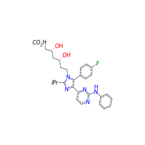 CC(C)c1nc(-c2ccnc(Nc3ccccc3)n2)c(-c2ccc(F)cc2)n1CC[C@@H](O)C[C@@H](O)CC(=O)O